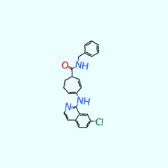 O=C(NCc1ccccc1)C1C=CC(Nc2nccc3ccc(Cl)cc23)=CCC1